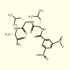 CC(C)C[C@H](NC(=O)c1cc([N+](=O)[O-])cc([N+](=O)[O-])c1)C(=O)N[C@@H](CC(C)C)C(=O)N[C@@H](C)C(N)=O